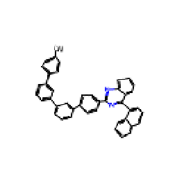 N#Cc1ccc(-c2cccc(-c3cccc(-c4ccc(-c5nc(-c6cccc7ccccc67)c6ccccc6n5)cc4)c3)c2)cc1